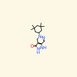 CC1(C)CC(N2Cc3c([nH][nH]c3=O)C=N2)CC(C)(C)C1